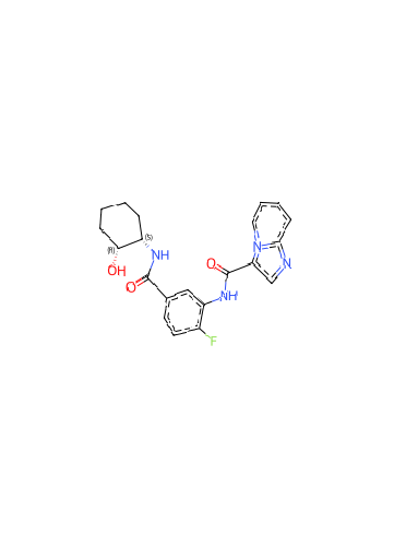 O=C(N[C@H]1CCCC[C@H]1O)c1ccc(F)c(NC(=O)c2cnc3ccccn23)c1